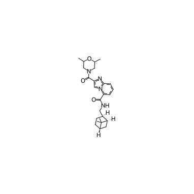 CC1CN(C(=O)c2cn3c(C(=O)NC[C@@H]4CC[C@H]5C[C@H]4C5(C)C)cccc3n2)CC(C)O1